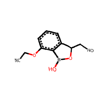 N#CCOc1cccc2c1B(O)OC2CN=O